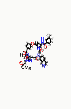 COC(=O)CCNC(=O)[C@@H]1CCC(=O)N(c2ccc3ccncc3c2)CC(=O)N2C[C@H](NC(=O)c3cccc(C(F)(F)F)c3)C[C@H]2COc2ccc(cc2)C(=O)N1C